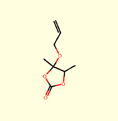 C=CCOC1(C)OC(=O)OC1C